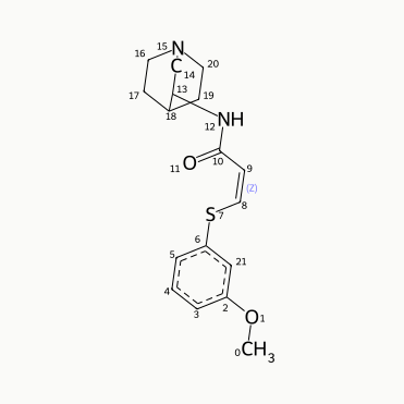 COc1cccc(S/C=C\C(=O)NC2CN3CCC2CC3)c1